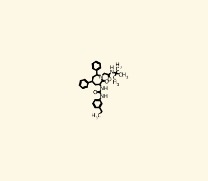 CCc1cccc(NC(=O)NC2CC(c3ccccc3)CC(c3ccccc3)N(CC(=O)NC(C)(C)C)C2=O)c1